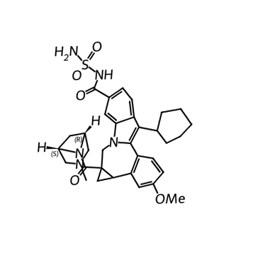 COc1ccc2c(c1)C1CC1(C(=O)N1[C@@H]3C[C@H]1CN(C)C3)Cn1c-2c(C2CCCCC2)c2ccc(C(=O)NS(N)(=O)=O)cc21